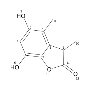 Cc1c(O)cc(O)c2c1C(C)C(=O)O2